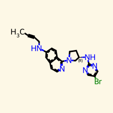 CC#CCNc1ccc2c(N3CC[C@@H](Nc4ncc(Br)cn4)C3)nccc2c1